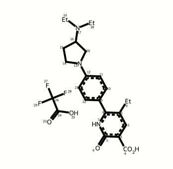 CCc1cc(C(=O)O)c(=O)[nH]c1-c1ccc(N2CCC(N(CC)CC)C2)cc1.O=C(O)C(F)(F)F